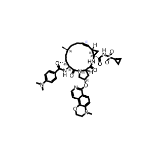 C[C@H]1CC/C=C\[C@@H]2C[C@@]2(C(=O)NS(=O)(=O)C2CC2)NC(=O)[C@@H]2C[C@@H](Oc3nccc4c5c(ccc34)N(C)CCO5)CN2C(=O)[C@@H](NC(=O)c2ccc(N(C)C)cc2)[C@H](C)C1